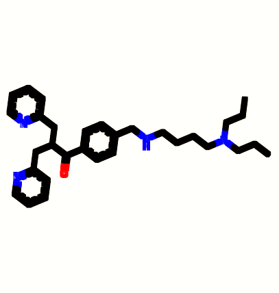 CCCN(CCC)CCCCNCc1ccc(C(=O)C(Cc2ccccn2)Cc2ccccn2)cc1